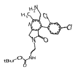 Cc1nc2c(c(-c3ccc(Cl)cc3Cl)c1CN)C(=O)N(CCNC(=O)OC(C)(C)C)C2